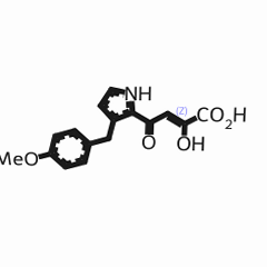 COc1ccc(Cc2cc[nH]c2C(=O)/C=C(\O)C(=O)O)cc1